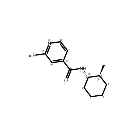 C[C@H]1CCCC[C@@H]1NC(=O)c1ccnc(F)c1